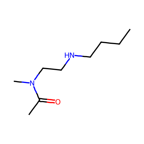 CCCCNCCN(C)C(C)=O